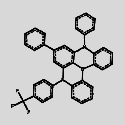 FC(F)(F)c1ccc(N2c3ccccc3B3c4ccccc4N(c4ccccc4)c4cc(-c5ccccc5)cc2c43)cc1